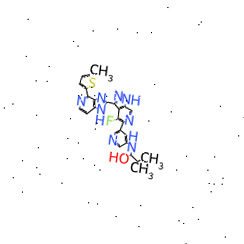 Cc1ccc(-c2nccc3[nH]c(-c4n[nH]c5cnc(-c6cncc(NC(O)C(C)C)c6)c(F)c45)nc23)s1